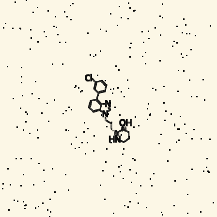 O[C@H]1CCCN[C@@H]1CCCn1cnc2c(-c3cccc(Cl)c3)cccc21